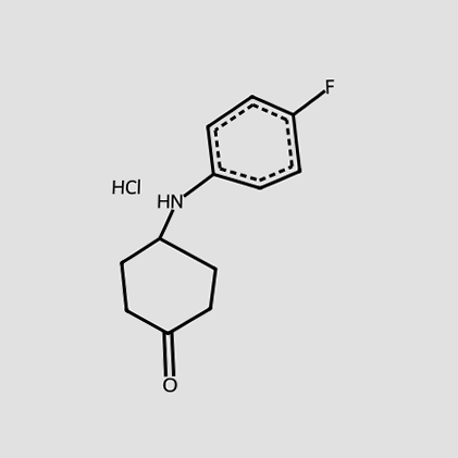 Cl.O=C1CCC(Nc2ccc(F)cc2)CC1